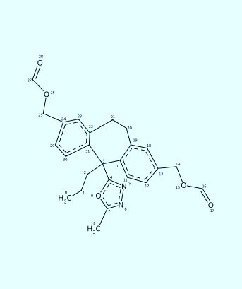 CCCC1(c2nnc(C)o2)c2ccc(COC=O)cc2CCc2cc(COC=O)ccc21